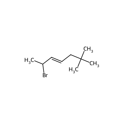 CC(Br)/C=C/CC(C)(C)C